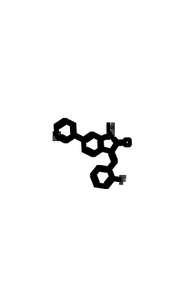 O=C1Nc2cc(-c3cccnc3)ccc2/C1=C\c1ccccc1F